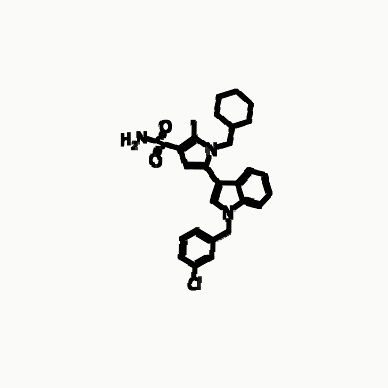 Cc1c(S(N)(=O)=O)cc(-c2cn(Cc3cccc(Cl)c3)c3ccccc23)n1CC1CCCCC1